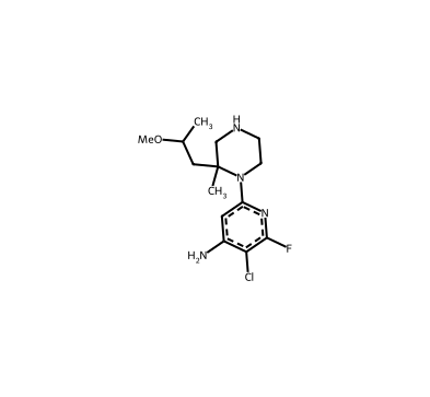 COC(C)CC1(C)CNCCN1c1cc(N)c(Cl)c(F)n1